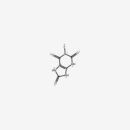 O=c1[nH]c2[nH]c(=O)n(F)c(=O)c2[nH]1